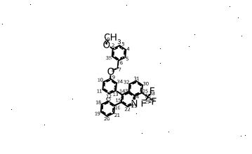 COc1cccc(COc2cccc(-c3c(-c4ccccc4)cnc4c(C(F)(F)F)cccc34)c2)c1